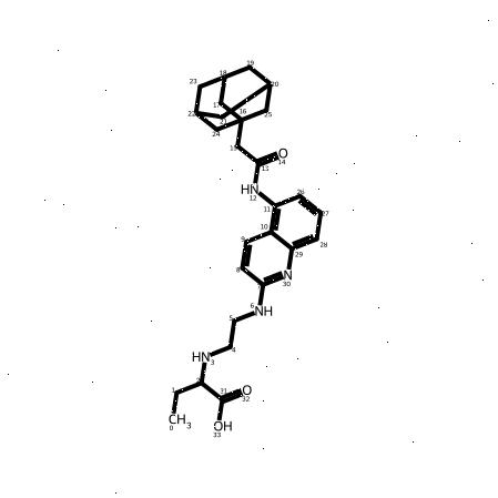 CCC(NCCNc1ccc2c(NC(=O)CC34CC5CC(CC(C5)C3)C4)cccc2n1)C(=O)O